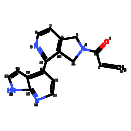 C=CC(=O)N1Cc2ccnc(-c3ccnc4[nH]ccc34)c2C1